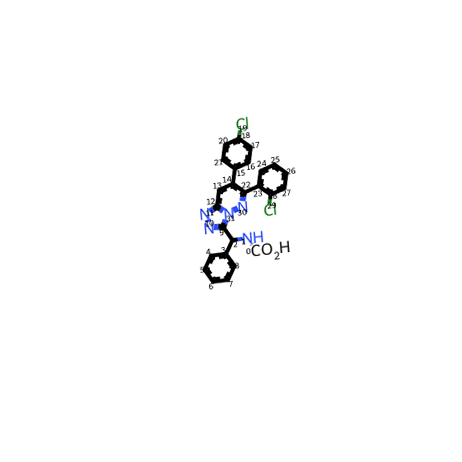 O=C(O)NC(c1ccccc1)c1nnc2cc(-c3ccc(Cl)cc3)c(-c3ccccc3Cl)nn12